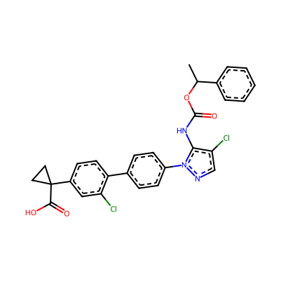 CC(OC(=O)Nc1c(Cl)cnn1-c1ccc(-c2ccc(C3(C(=O)O)CC3)cc2Cl)cc1)c1ccccc1